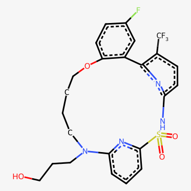 O=S1(=O)Nc2ccc(C(F)(F)F)c(n2)-c2cc(F)ccc2OCCCCN(CCCO)c2cccc1n2